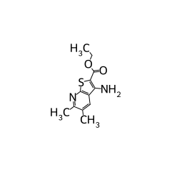 CCOC(=O)c1sc2nc(C)c(C)cc2c1N